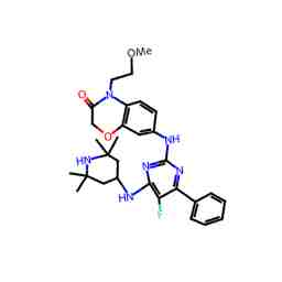 COCCN1C(=O)COc2cc(Nc3nc(NC4CC(C)(C)NC(C)(C)C4)c(F)c(-c4ccccc4)n3)ccc21